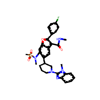 CNC(=O)c1c(-c2ccc(F)cc2)oc2cc(N(C)S(C)(=O)=O)c(C3CCCN(c4nc5ccccc5n4C)C3)cc12